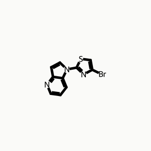 Brc1csc(-n2ccc3ncccc32)n1